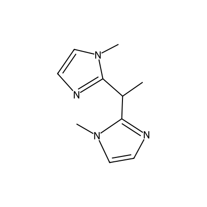 CC(c1nccn1C)c1nccn1C